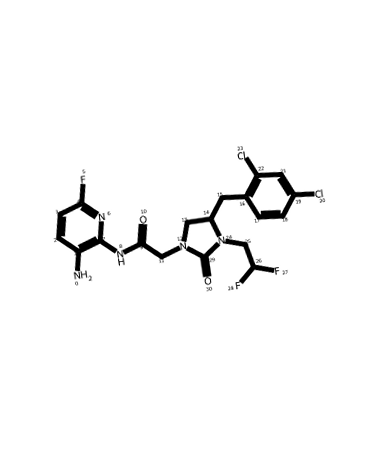 Nc1ccc(F)nc1NC(=O)CN1CC(Cc2ccc(Cl)cc2Cl)N(CC(F)F)C1=O